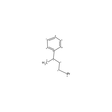 [CH2]C(CCC(C)C)c1ccccc1